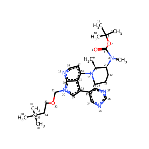 C[C@H]1[C@@H](N(C)C(=O)OC(C)(C)C)CCCN1c1ccnc2c1c(-c1cncnc1)cn2COCC[Si](C)(C)C